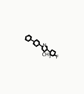 Cc1cc(-c2ccc(-c3ccccc3)cc2)ncc1-c1ccc(F)cc1